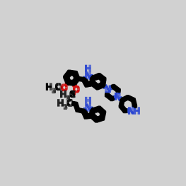 CCCc1cc2ccccc2[nH]1.COc1cccc(-c2cc3cc(N4CCN(C5CCCNCC5)CC4)ccc3[nH]2)c1OC